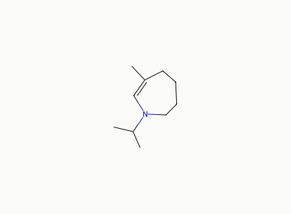 CC1=CN(C(C)C)CCCC1